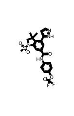 CC1(C)CN(S(C)(=O)=O)c2cc(C(=O)Nc3ccc(OC(F)(F)Cl)cc3)cc(-c3ccn[nH]3)c21